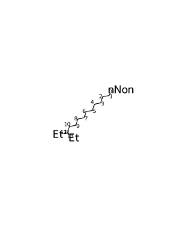 [CH2]CCCCCCCCCCCCCCCCCCC(C[CH2])CC